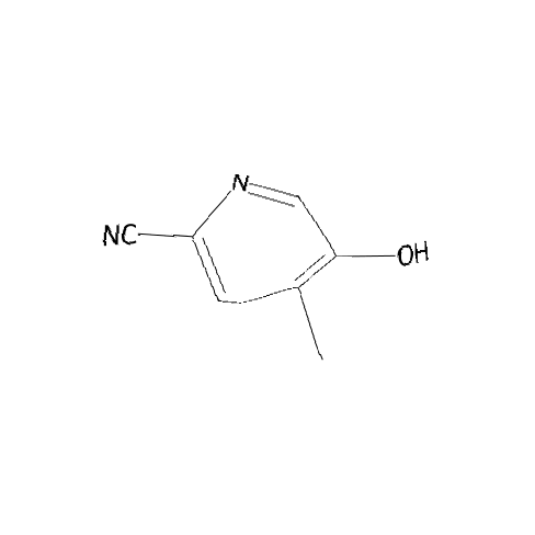 Cc1cc(C#N)ncc1O